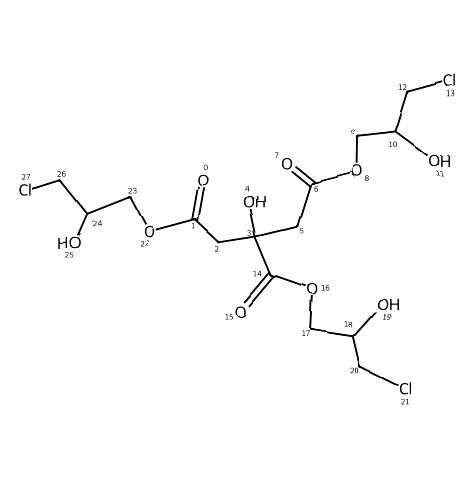 O=C(CC(O)(CC(=O)OCC(O)CCl)C(=O)OCC(O)CCl)OCC(O)CCl